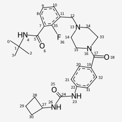 CC(C)(C)NC(=O)c1cccc(CN2CCN(C(=O)c3ccc(NC(=O)NC4CCC4)cc3)CC2)c1F